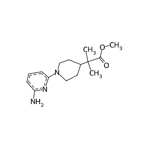 COC(=O)C(C)(C)C1CCN(c2cccc(N)n2)CC1